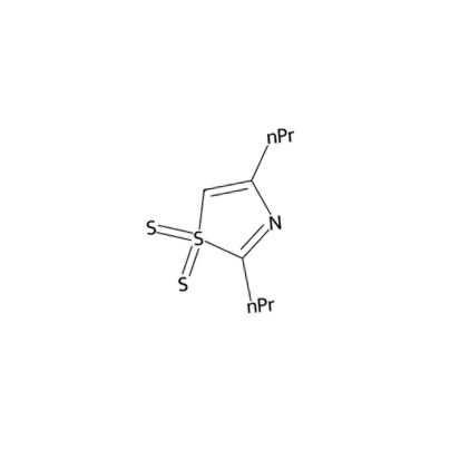 CCCC1=CS(=S)(=S)C(CCC)=N1